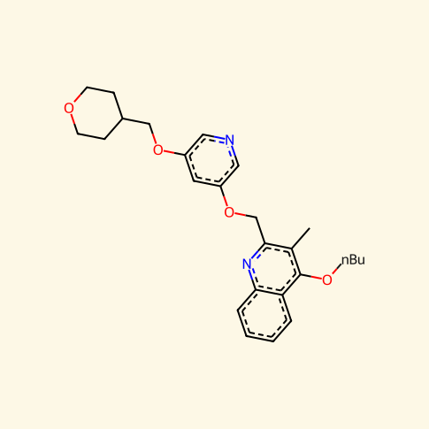 CCCCOc1c(C)c(COc2cncc(OCC3CCOCC3)c2)nc2ccccc12